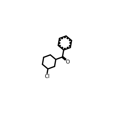 O=C(c1ccccc1)C1CCCC(Cl)C1